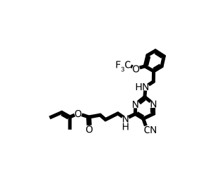 C/C=C(\C)OC(=O)CCCNc1nc(NCc2ccccc2OC(F)(F)F)ncc1C#N